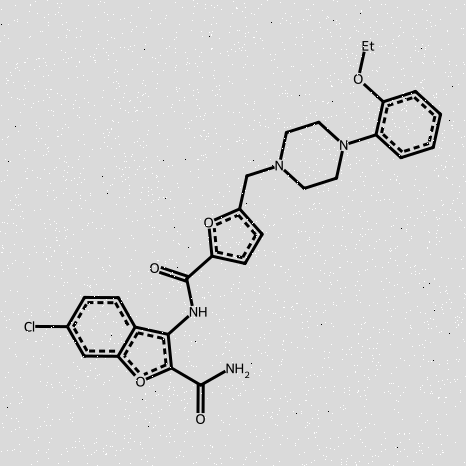 CCOc1ccccc1N1CCN(Cc2ccc(C(=O)Nc3c(C(N)=O)oc4cc(Cl)ccc34)o2)CC1